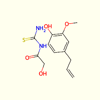 C=CCc1ccc(O)c(OC)c1.NC(=S)NC(=O)CO